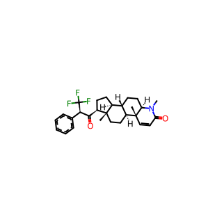 CN1C(=O)C=C[C@]2(C)[C@H]3CC[C@]4(C)[C@@H](C(=O)[C@@H](c5ccccc5)C(F)(F)F)CC[C@H]4[C@@H]3CC[C@@H]12